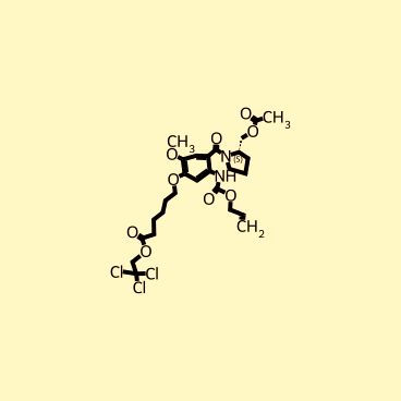 C=CCOC(=O)Nc1cc(OCCCCCC(=O)OCC(Cl)(Cl)Cl)c(OC)cc1C(=O)N1CCC[C@H]1COC(C)=O